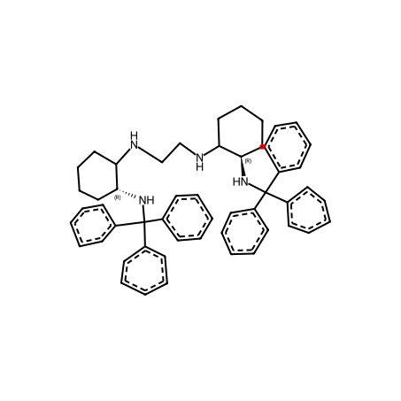 c1ccc(C(N[C@@H]2CCCCC2NCCNC2CCCC[C@H]2NC(c2ccccc2)(c2ccccc2)c2ccccc2)(c2ccccc2)c2ccccc2)cc1